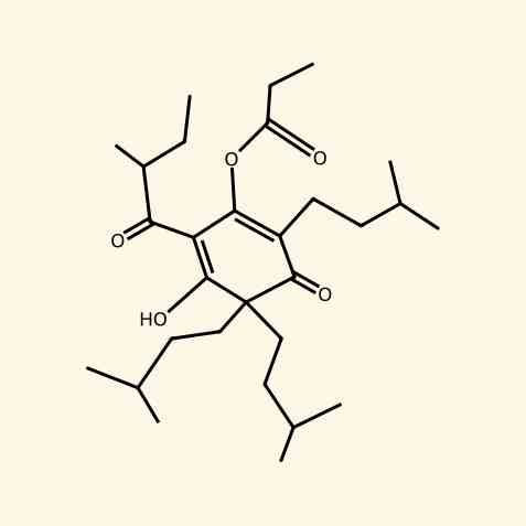 CCC(=O)OC1=C(CCC(C)C)C(=O)C(CCC(C)C)(CCC(C)C)C(O)=C1C(=O)C(C)CC